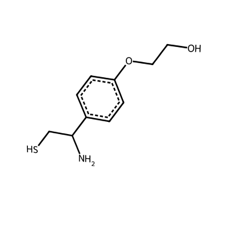 NC(CS)c1ccc(OCCO)cc1